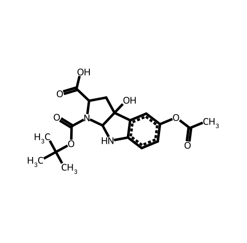 CC(=O)Oc1ccc2c(c1)C1(O)CC(C(=O)O)N(C(=O)OC(C)(C)C)C1N2